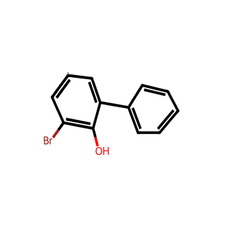 Oc1c(Br)c[c]cc1-c1ccccc1